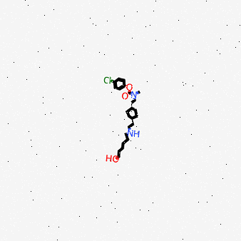 CN(CC[C@H]1CC[C@H](CCNCCCCCCO)CC1)C(=O)Oc1ccc(Cl)cc1